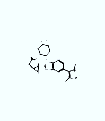 CO[C@H]1CC[C@H](n2c([C@@]34C[C@@H]3CC(=O)N4)nc3cc(-c4c(C)noc4C)ccc32)CC1